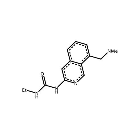 CCNC(=O)Nc1cc2cccc(CNC)c2cn1